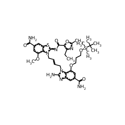 CCc1nc(C)oc1C(=O)/N=c1\sc2cc(C(N)=O)cc(OC)c2n1C/C=C/Cn1c(N)nc2cc(C(N)=O)cc(OCCCO[Si](C)(C)C(C)(C)C)c21